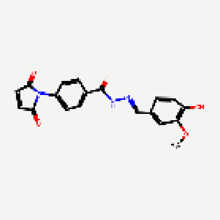 COc1cc(/C=N/NC(=O)c2ccc(N3C(=O)C=CC3=O)cc2)ccc1O